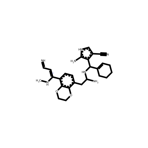 CN/C(=C\C=N)c1ccc(CC(N)NC(C2=CCCCC2)c2c(C#N)c[nH]c2N)c2c1OCCO2